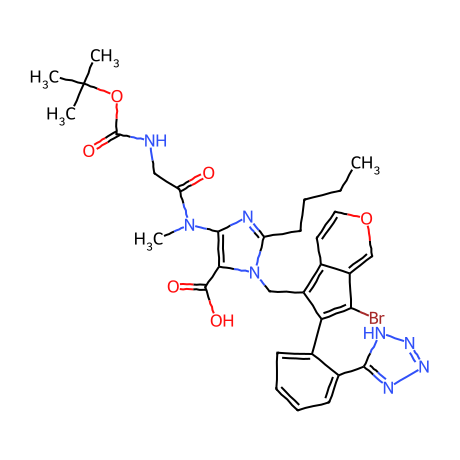 CCCCc1nc(N(C)C(=O)CNC(=O)OC(C)(C)C)c(C(=O)O)n1Cc1c2ccocc-2c(Br)c1-c1ccccc1-c1nnn[nH]1